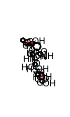 CCN[C@H]1CO[C@@H](O[C@H]2[C@H](O[C@H]3C#CC=CC#C[C@]4(O)CC(=O)C(NC(=O)OC)=C3/C4=C\CSSc3ccccc3)O[C@H](C)[C@@H](NO[C@H]3C[C@H](O)[C@H]([SH]=C(O)c4c(C)c(I)c(O[C@@H]5O[C@@H](C)[C@H](O)[C@@H](OC)[C@H]5O)c(OC)c4OC)[C@@H](C)O3)[C@@H]2O)C[C@@H]1OC